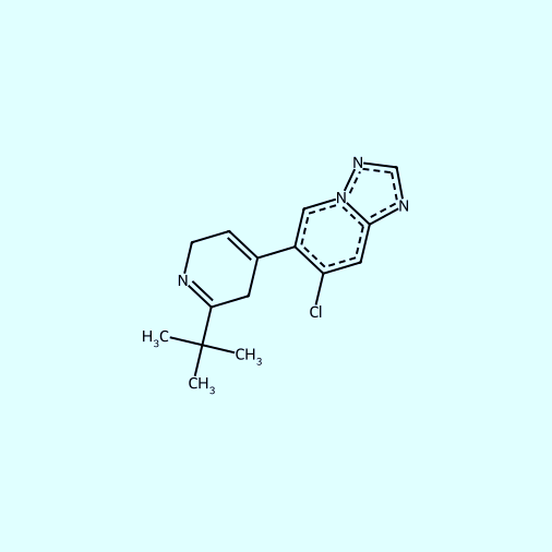 CC(C)(C)C1=NCC=C(c2cn3ncnc3cc2Cl)C1